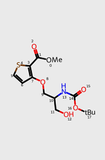 COC(=O)c1sccc1OCC(CO)NC(=O)OC(C)(C)C